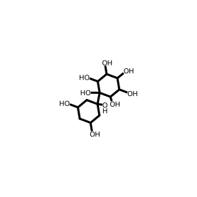 OC1CC(O)CC(O)(C2(O)C(O)C(O)C(O)C(O)C2O)C1